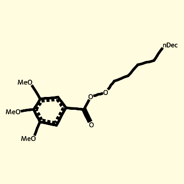 [CH2]CCCCCCCCCCCCCOOC(=O)c1cc(OC)c(OC)c(OC)c1